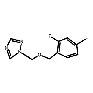 Fc1ccc(COCn2cncn2)c(F)c1